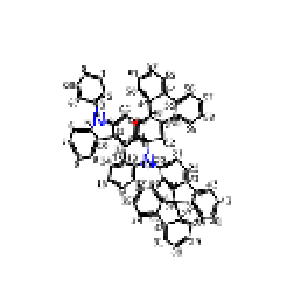 c1ccc(-n2c3ccccc3c3c(-c4ccccc4N(c4ccc5c(c4)C4(c6ccccc6-c6ccccc64)c4ccccc4-5)c4ccc5c6ccccc6c6ccccc6c5c4)cccc32)cc1